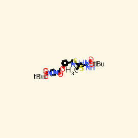 Cc1sc(C(=N)NC(=O)OC(C)(C)C)cc1-c1nc(-c2cccc(OCC(=O)N3CCN(C(=O)OC(C)(C)C)CC3)c2)cs1